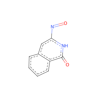 O=Nc1cc2ccccc2c(=O)[nH]1